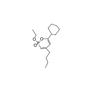 CCCCC1=CP(=O)(OCC)OC(C2CCCCC2)=C1